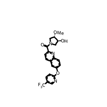 CO[C@H]1CN(C(=O)c2ccc3cc(Oc4ccc(C(F)(F)F)cn4)ccc3n2)C[C@@H]1O